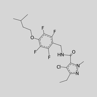 CCc1nn(C)c(C(=O)NCc2c(F)c(F)c(OCCC(C)C)c(F)c2F)c1Cl